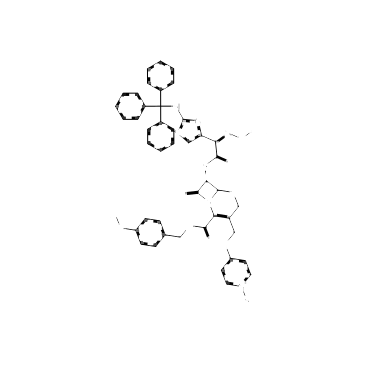 CO/N=C(\C(=O)N[C@@H]1C(=O)N2C(C(=O)OCc3ccc(OC)cc3)=C(CSc3cc[n+](N)cc3)CS[C@H]12)c1csc(NC(c2ccccc2)(c2ccccc2)c2ccccc2)n1.[I-]